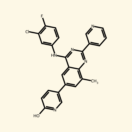 Cc1cc(-c2ccc(O)nc2)cc2c(Nc3ccc(F)c(Cl)c3)nc(-c3cccnc3)nc12